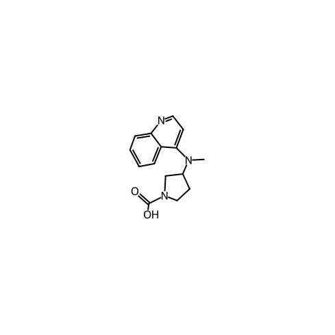 CN(c1ccnc2ccccc12)C1CCN(C(=O)O)C1